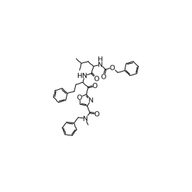 CC(C)CC(NC(=O)OCc1ccccc1)C(=O)NC(CCc1ccccc1)C(=O)c1nc(C(=O)N(C)Cc2ccccc2)co1